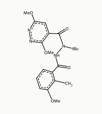 COc1cc(C(=O)N(NC(=O)c2cccc(OC)c2C)C(C)(C)C)c(OC)nn1